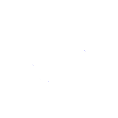 Cn1ncc(Nc2ccc([N+](=O)[O-])cc2[N+](=O)[O-])c1[N+](=O)[O-]